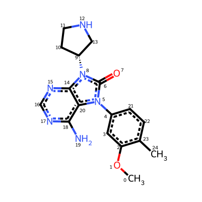 COc1cc(-n2c(=O)n([C@@H]3CCNC3)c3ncnc(N)c32)ccc1C